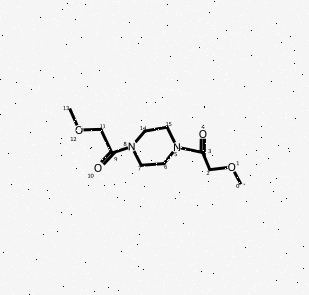 [CH2]OCC(=O)N1CCN(C(=O)CO[CH2])CC1